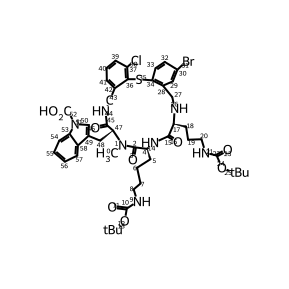 CN1C(=O)[C@H](CCCCNC(=O)OC(C)(C)C)NC(=O)[C@H](CCCNC(=O)OC(C)(C)C)NCc2cc(Br)ccc2Sc2c(Cl)cccc2CNC(=O)[C@@H]1Cc1cn(C(=O)O)c2ccccc12